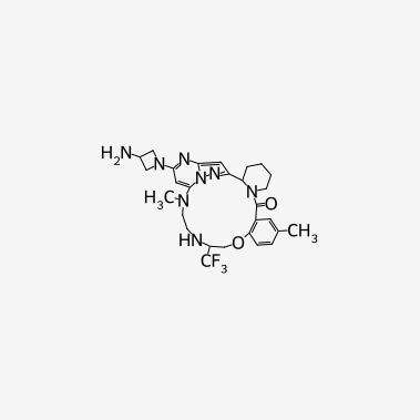 Cc1ccc2c(c1)C(=O)N1CCCCC1c1cc3nc(N4CC(N)C4)cc(n3n1)N(C)CCNC(C(F)(F)F)CO2